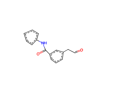 O=CCc1cccc(C(=O)Nc2ccccc2)c1